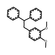 COc1ccc(CC(c2ccccc2)c2ccccc2)cc1OC